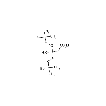 CCOC(=O)CC(C)(OOC(C)(C)CC)OOC(C)(C)CC